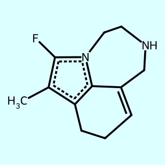 Cc1c2c3n(c1F)CCNCC3=CCC2